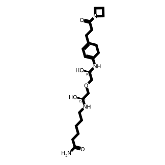 NC(=O)CCCCCN[C@@H](O)COC[C@@H](O)NC1=CC=C(CCC(=O)N2CCC2)CC1